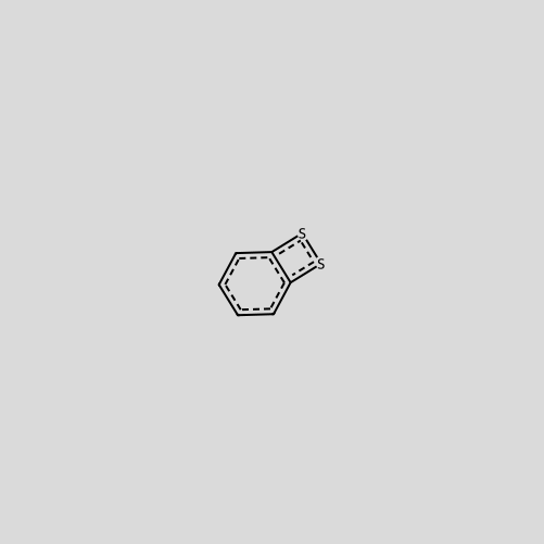 c1ccc2ssc2c1